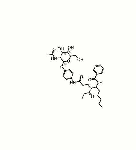 CCCCCC(NC(=O)c1ccccc1)N(CCC(=O)Nc1ccc(O[C@@H]2OC(CO)[C@H](O)[C@H](O)C2NC(C)=O)cc1)C(=O)CC